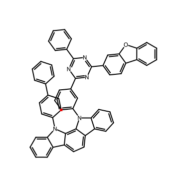 c1ccc(-c2ccc(-n3c4ccccc4c4ccc5c6ccccc6n(-c6cccc(-c7nc(-c8ccccc8)nc(-c8ccc9c(c8)oc8ccccc89)n7)c6)c5c43)cc2)cc1